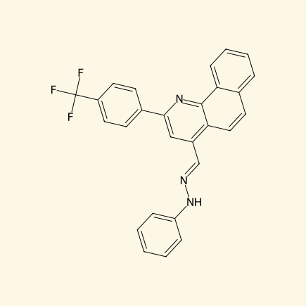 FC(F)(F)c1ccc(-c2cc(C=NNc3ccccc3)c3ccc4ccccc4c3n2)cc1